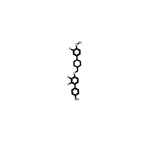 CCCc1ccc(-c2ccc(OCC3CCC(c4ccc(OCC)c(F)c4)CC3)c(F)c2F)cc1